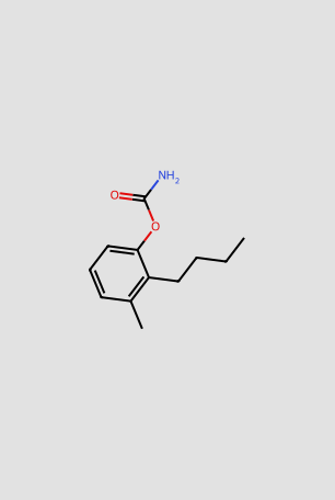 CCCCc1c(C)cccc1OC(N)=O